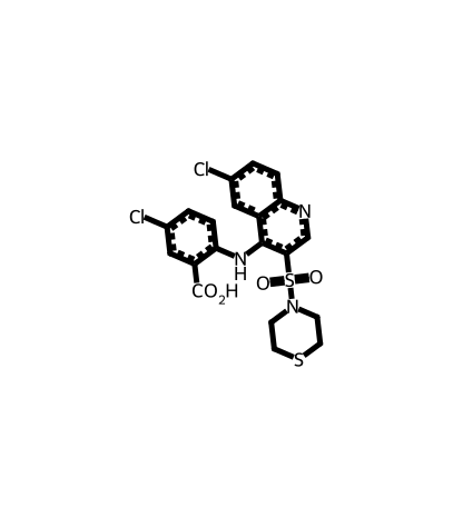 O=C(O)c1cc(Cl)ccc1Nc1c(S(=O)(=O)N2CCSCC2)cnc2ccc(Cl)cc12